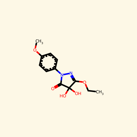 CCOC1=NN(c2ccc(OC)cc2)C(=O)C1(O)O